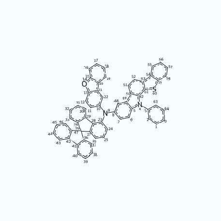 c1ccc(-n2c3ccc(N(c4ccc5oc6ccccc6c5c4)c4cccc5c4-c4ccccc4C54c5ccccc5-c5ccccc54)cc3c3ccc4c5ccccc5sc4c32)cc1